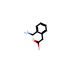 NCc1ccccc1CC([O])=O